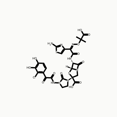 CC(C)(O/N=C(\C(=O)N[C@@H]1C(=O)N2C[C@@](C(=O)O)(N3CCN(NC(=O)C(=O)c4ccc(O)c(O)c4Cl)C3=O)S[C@H]12)c1csc(N)n1)C(=O)O